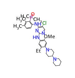 CCc1cc(Nc2ncc(Cl)c(Nc3ccc(C)c(C)c3P(C)(C)=O)n2)c(OC)cc1N1CCC(N2CCCCC2)CC1